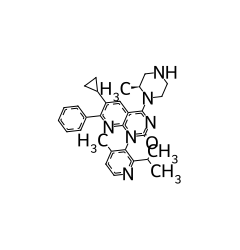 Cc1ccnc(C(C)C)c1-n1c(=O)nc(N2CCNC[C@@H]2C)c2cc(C3CC3)c(-c3ccccc3)nc21